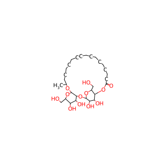 CC1CCCCCCCCCCCCCCCC(=O)OC2C(CO)OC(OC3C(O1)OC(CO)C(O)C3O)C(O)C2O